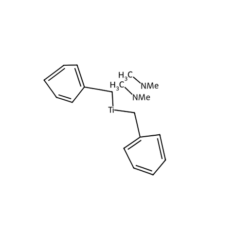 CNC.CNC.c1ccc([CH2][Ti][CH2]c2ccccc2)cc1